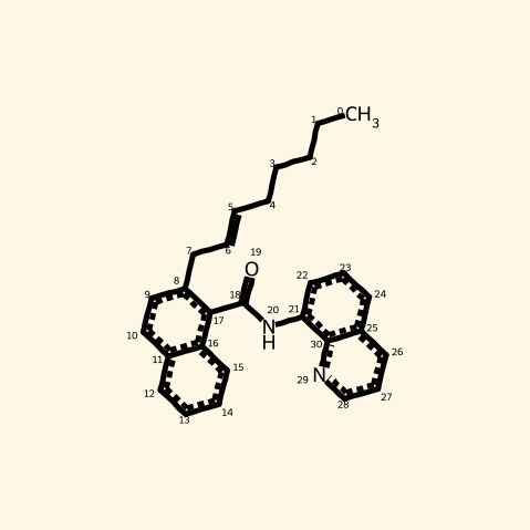 CCCCCC=CCc1ccc2ccccc2c1C(=O)Nc1cccc2cccnc12